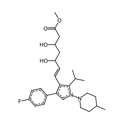 COC(=O)CC(O)CC(O)/C=C/c1c(-c2ccc(F)cc2)cn(N2CCC(C)CC2)c1C(C)C